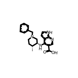 C[C@@H]1CCN(Cc2ccccc2)C[C@@H]1Nc1c(C(=O)O)cnc2[nH]ccc12